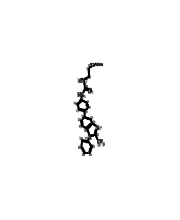 COCCNC(=O)Nc1ccc(-c2ccc3c(c2)nc(C(F)(F)F)n3-c2ccccc2)cc1